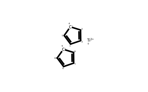 [Ti+2].c1cc[cH-]c1.c1cc[cH-]c1